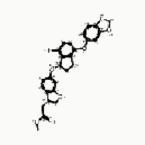 COC(=O)C[C@@H]1COc2cc(O[C@@H]3CCc4c(Oc5ccc6c(c5)OCO6)ccc(F)c43)ccc21